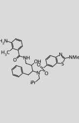 CNc1nc2ccc(S(=O)(=O)N(CC(C)C)C(Cc3ccccc3)C(O)CNC(=O)c3cccc(N)c3C)cc2s1